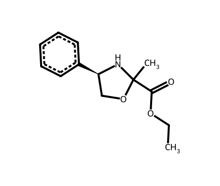 CCOC(=O)C1(C)N[C@H](c2ccccc2)CO1